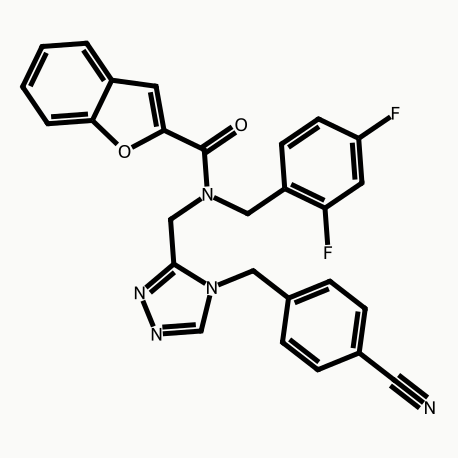 N#Cc1ccc(Cn2cnnc2CN(Cc2ccc(F)cc2F)C(=O)c2cc3ccccc3o2)cc1